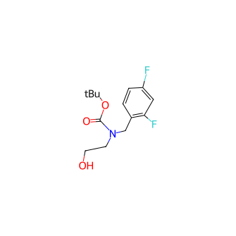 CC(C)(C)OC(=O)N(CCO)Cc1ccc(F)cc1F